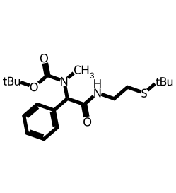 CN(C(=O)OC(C)(C)C)C(C(=O)NCCSC(C)(C)C)c1ccccc1